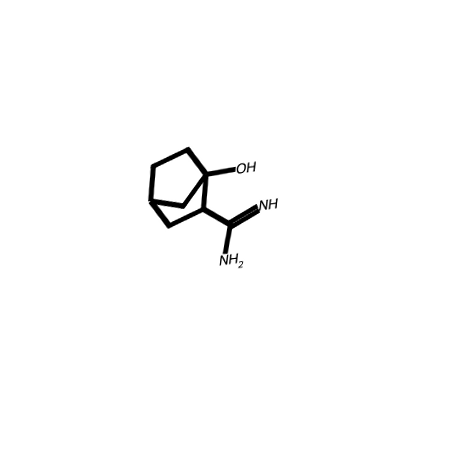 N=C(N)C1CC2CCC1(O)C2